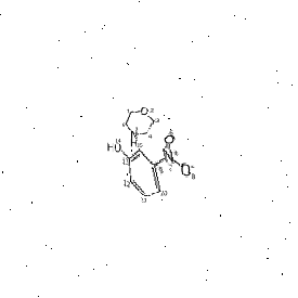 C1COCCN1.O=[N+]([O-])c1cccc(O)c1